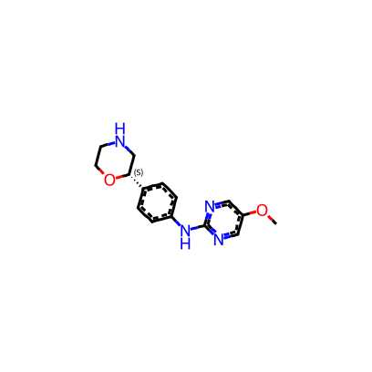 COc1cnc(Nc2ccc([C@H]3CNCCO3)cc2)nc1